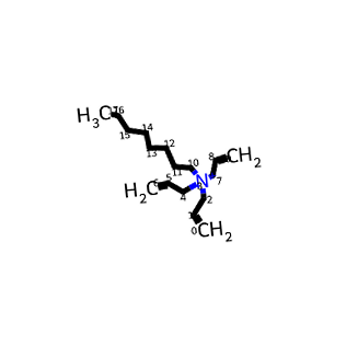 C=CC[N+](CC=C)(CC=C)CCCCCCCC